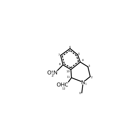 CN1CCc2cccc([N+](=O)[O-])c2C1C=O